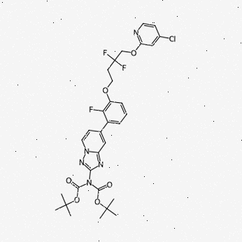 CC(C)(C)OC(=O)N(C(=O)OC(C)(C)C)c1nc2cc(-c3cccc(OCCC(F)(F)COc4cc(Cl)ccn4)c3F)ccn2n1